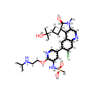 CC(C)NCCOc1ncc(-c2cc3c(cc2F)ncc2c3[C@]3(C[C@H](C(C)(C)O)C3)C(=O)N2C)cc1NS(C)(=O)=O